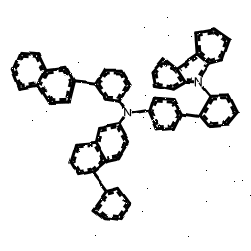 c1ccc(-c2cccc3cc(N(c4ccc(-c5ccccc5-n5c6ccccc6c6ccccc65)cc4)c4cccc(-c5ccc6ccccc6c5)c4)ccc23)cc1